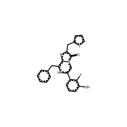 O=c1c(Cc2cccs2)nc2c(Cc3ccccc3)[nH]c(-c3cccc(O)c3F)cn1-2